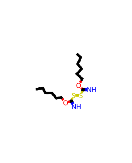 CCCCCCOC(=N)SSC(=N)OCCCCCC